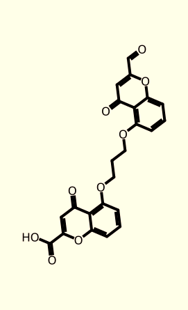 O=Cc1cc(=O)c2c(OCCCOc3cccc4oc(C(=O)O)cc(=O)c34)cccc2o1